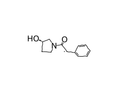 O=C([CH]c1ccccc1)N1CC[C@@H](O)C1